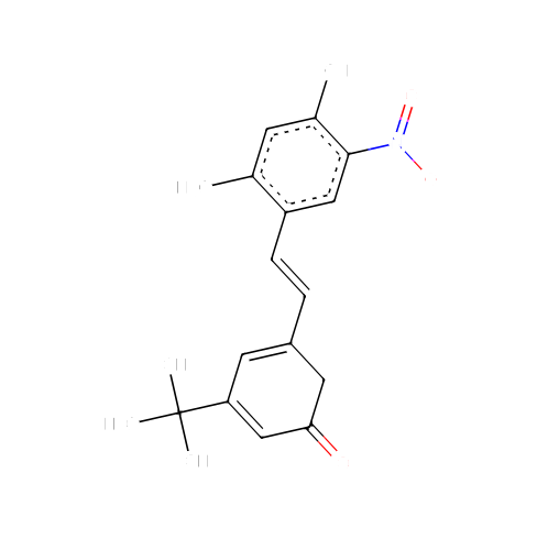 Cc1cc(C)c([N+](=O)[O-])cc1/C=C/C1=CC(C(C)(C)C)=CC(=O)C1